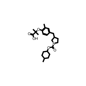 Cc1cc(CC2CCN(C(=O)OC3CCC(C)CC3)C2)ccc1OC(C)(C)C(=O)O